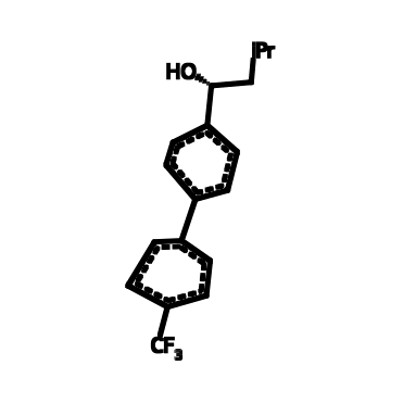 CC(C)C[C@@H](O)c1ccc(-c2ccc(C(F)(F)F)cc2)cc1